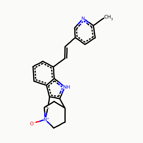 Cc1ccc(/C=C/c2cccc3c4c([nH]c23)C2CC[N+]([O-])(CC2)C4)cn1